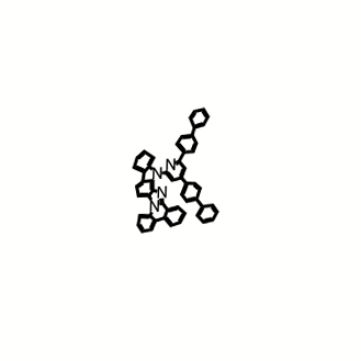 c1ccc(-c2ccc(-c3cc(-c4ccc(-c5ccccc5)cc4)nc(-n4c5ccccc5c5ccc6c(nc7c8ccccc8c8ccccc8n67)c54)c3)cc2)cc1